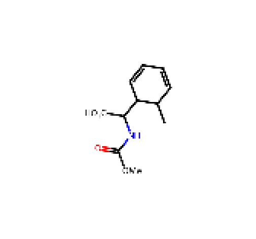 COC(=O)NC(C(=O)O)C1C=CC=CC1C